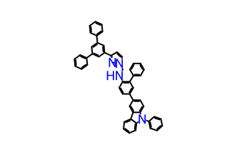 c1ccc(-c2cc(-c3ccccc3)cc(-c3ccn(CNc4ccc(-c5ccc6c(c5)c5ccccc5n6-c5ccccc5)cc4-c4ccccc4)n3)c2)cc1